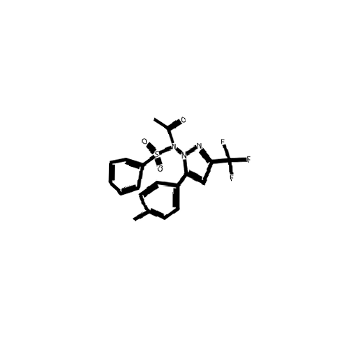 CC(=O)N(n1nc(C(F)(F)F)cc1-c1ccc(C)cc1)S(=O)(=O)c1ccccc1